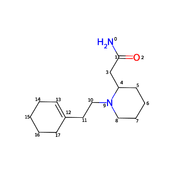 NC(=O)CC1CCCCN1CCC1=CCCCC1